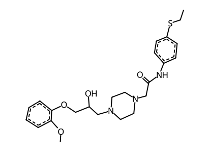 CCSc1ccc(NC(=O)CN2CCN(CC(O)COc3ccccc3OC)CC2)cc1